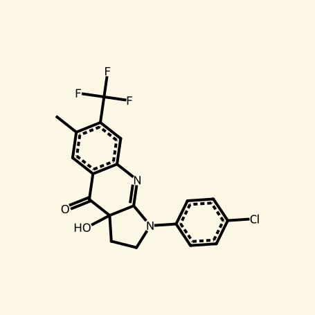 Cc1cc2c(cc1C(F)(F)F)N=C1N(c3ccc(Cl)cc3)CCC1(O)C2=O